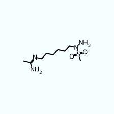 CC(N)=NCCCCCCN(N)S(C)(=O)=O